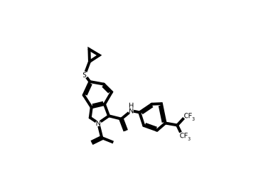 C=C(Nc1ccc(C(C(F)(F)F)C(F)(F)F)cc1)C1c2ccc(SC3CC3)cc2CN1C(=C)C